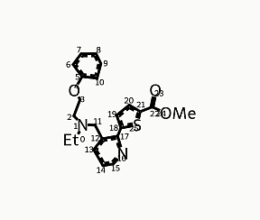 CCN(CCOc1ccccc1)Cc1cccnc1-c1ccc(C(=O)OC)s1